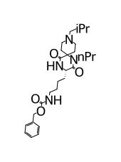 CCCN1C(=O)[C@H](CCCCNC(=O)OCc2ccccc2)NC(=O)C12CCN(CC(C)C)CC2